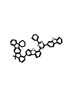 CC1(C)c2cc3c(cc2-c2c(-c4ccc5oc6c(-c7cc(-c8ccc9c(c8)oc8ccccc89)nc(C8=CCCC=C8)n7)cccc6c5c4)cccc21)C1(CCCCC1)c1ccccc1-3